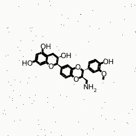 COc1cc([C@H]2Oc3cc([C@H]4Oc5cc(O)cc(O)c5C[C@@H]4O)ccc3O[C@@H]2CN)ccc1O